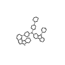 c1ccc(-c2ccc(N(c3ccc(-c4cccc5ccc6sc7ccccc7c6c45)cc3)c3ccc4c5ccccc5n(-c5ccccc5)c4c3)cc2)cc1